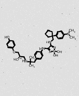 CN(C)c1ccc(C2(CNC3=NS(O)(O)N=C3Nc3ccc(CC(C)(C)NC[C@@H](O)COc4ccc(O)cc4)cc3)CCCC2)cc1